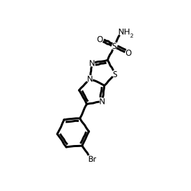 NS(=O)(=O)c1nn2cc(-c3cccc(Br)c3)nc2s1